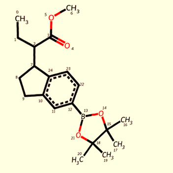 CCC(C(=O)OC)C1CCc2cc(B3OC(C)(C)C(C)(C)O3)ccc21